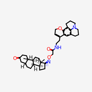 C[C@]12CCC(=O)C[C@@H]1CC[C@@H]1[C@@H]2CC[C@]2(C)/C(=N\OCC(=O)NCCC3=CCOc4c3cc3c5c4CCCN5CCC3)CC[C@@H]12